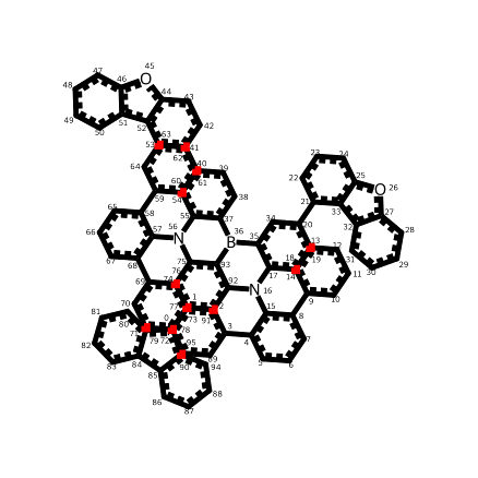 c1ccc(-c2cccc(-c3ccccc3)c2N2c3ccc(-c4cccc5oc6ccccc6c45)cc3B3c4ccc(-c5ccc6oc7ccccc7c6c5)cc4N(c4c(-c5ccccc5)cccc4-c4ccccc4)c4cc(-n5c6ccccc6c6ccccc65)cc2c43)cc1